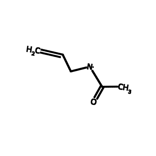 C=CC[N]C(C)=O